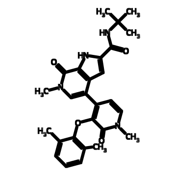 Cc1cccc(C)c1Oc1c(-c2cn(C)c(=O)c3[nH]c(C(=O)NC(C)(C)C)cc23)ccn(C)c1=O